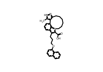 Cc1[nH]nc2c1-c1cccc3c(CCCOc4cccc5ccccc45)c(C(=O)O)n(c13)CCCCCC2